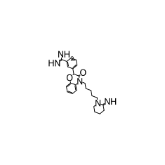 N=C(N)c1cccc(C2Oc3ccccc3N(CCCCCN3CCCCC3=N)C2=O)c1